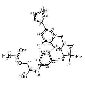 C[C@@H]1Cc2cc(-c3cn[nH]c3)ccc2[C@@H](c2c(F)cc(OC(COC(N)=O)C(C)(C)C)cc2F)N1CC(C)(C)F